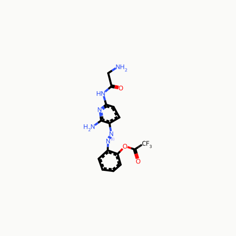 NCC(=O)Nc1ccc(/N=N/c2ccccc2OC(=O)C(F)(F)F)c(N)n1